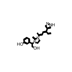 C=C/C(=C\C=C(/C)N1CCN(C(CO)c2cccc(O)c2)C1=C)c1cn[nH]c1